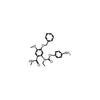 CCN(C(=O)Oc1ccc(N)cc1)c1cc(OCc2ccccc2)c(OC)cc1C(=O)NC